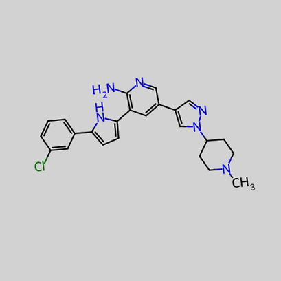 CN1CCC(n2cc(-c3cnc(N)c(-c4ccc(-c5cccc(Cl)c5)[nH]4)c3)cn2)CC1